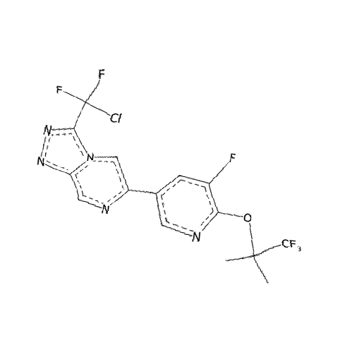 CC(C)(Oc1ncc(-c2cn3c(C(F)(F)Cl)nnc3cn2)cc1F)C(F)(F)F